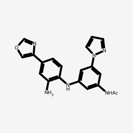 CC(=O)Nc1cc(Nc2ccc(-c3cocn3)cc2N)cc(-n2cccn2)c1